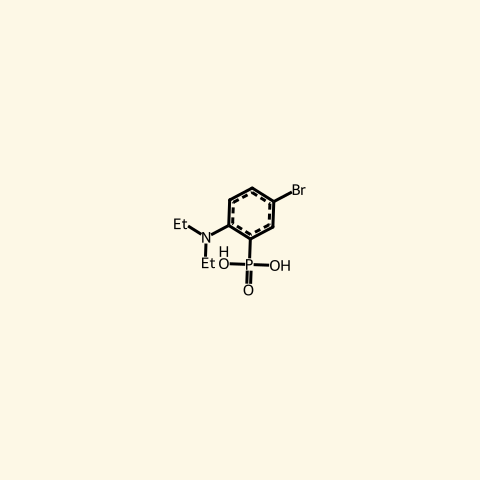 CCN(CC)c1ccc(Br)cc1P(=O)(O)O